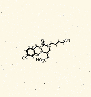 N#CCCCCN1CC(CC(=O)O)CN(Cc2ccc(Cl)cc2Cl)C1=O